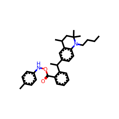 CCCCN1c2ccc(C(C)c3ccccc3C(=O)ONc3ccc(C)cc3)cc2C(C)CC1(C)C